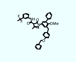 COc1c(Cc2ccc(OCc3ccccc3)cc2)cc(N2N=C(C)C(C(=O)Nc3cccc(C(C)(F)F)c3)C2=O)cc1-c1ccccc1